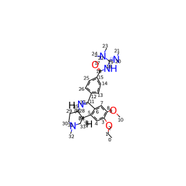 CCOc1cc2c(cc1OC)C(c1ccc(C(=O)N/C(=N/C)N(C)C)cc1)=N[C@@H]1CCN(C)C[C@H]21